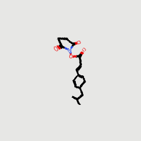 CC(C)Cc1ccc(/C=C/C(=O)ON2C(=O)CCC2=O)cc1